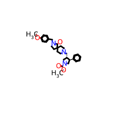 COC(=O)N1C[C@H](CN2CCC3(CC2)CCN(Cc2ccc(OC)cc2)C3=O)[C@@H](c2ccccc2)C1